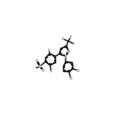 CS(=O)(=O)c1cc(F)c(-c2cc(C(F)(F)F)nn2-c2ccc(Cl)c(Cl)c2)cc1F